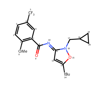 COc1ccc(C(F)(F)F)cc1C(=O)/N=c1\cc(C(C)(C)C)on1CC1CC1